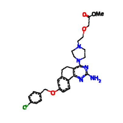 COC(=O)COCCN1CCN(c2nc(N)nc3c2CCc2cc(OCc4ccc(Cl)cc4)ccc2-3)CC1